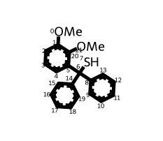 COc1cccc(C(S)(c2ccccc2)c2ccccc2)c1OC